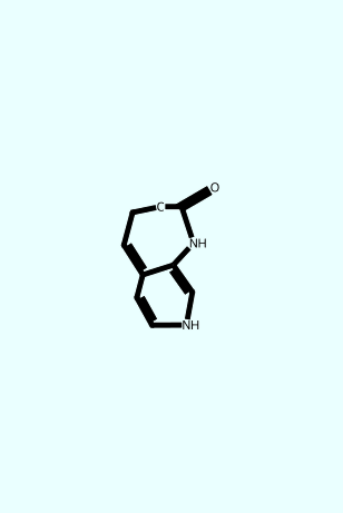 O=C1CCC=C2C=CNC=C2N1